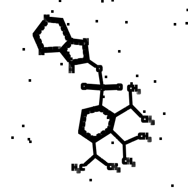 CC(C)c1ccc(S(=O)(=O)Oc2nc3cncnc3[nH]2)c(C(C)C)c1C(C)C